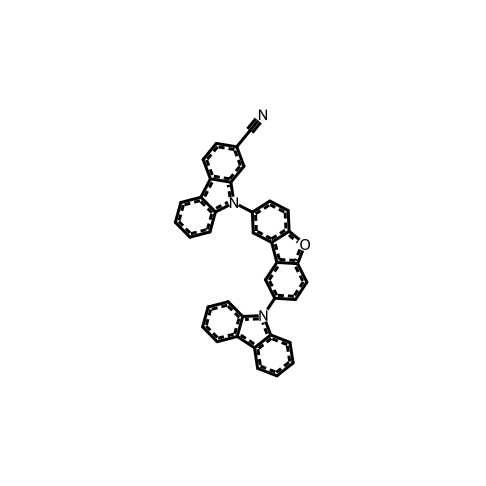 N#Cc1ccc2c3ccccc3n(-c3ccc4oc5ccc(-n6c7ccccc7c7ccccc76)cc5c4c3)c2c1